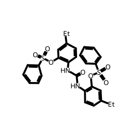 CCc1ccc(NC(=O)Nc2ccc(CC)cc2OS(=O)(=O)c2ccccc2)c(OS(=O)(=O)c2ccccc2)c1